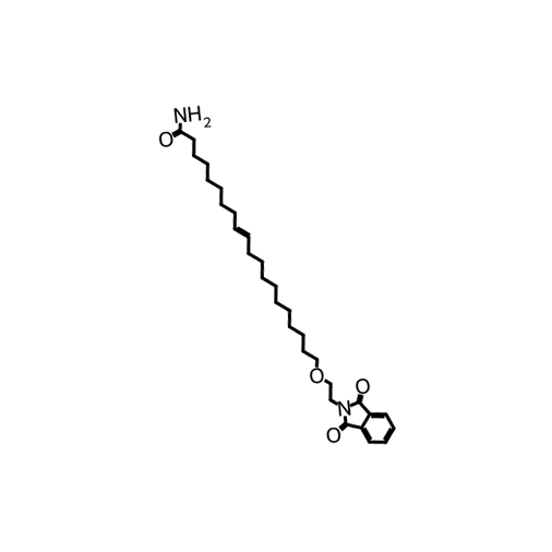 NC(=O)CCCCCCCC=CCCCCCCCCCCOCCN1C(=O)c2ccccc2C1=O